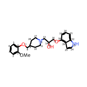 COc1ccccc1OCC1CCN(CC(O)COc2cccc3[nH]ccc23)CC1